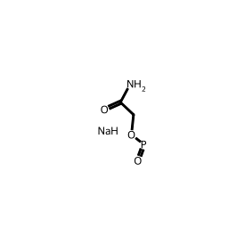 NC(=O)COP=O.[NaH]